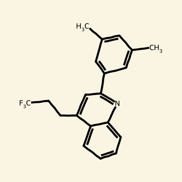 Cc1cc(C)cc(-c2cc(CCC(F)(F)F)c3ccccc3n2)c1